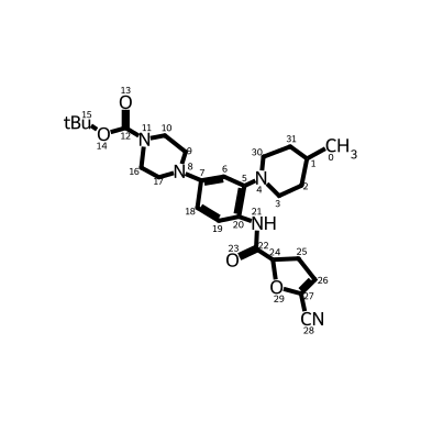 CC1CCN(c2cc(N3CCN(C(=O)OC(C)(C)C)CC3)ccc2NC(=O)C2CC=C(C#N)O2)CC1